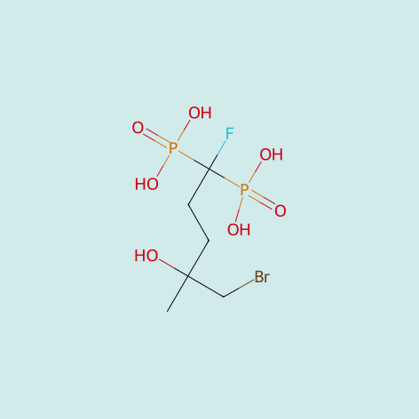 CC(O)(CBr)CCC(F)(P(=O)(O)O)P(=O)(O)O